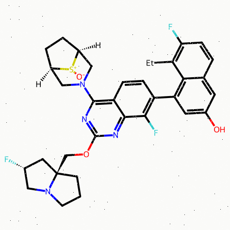 CCc1c(F)ccc2cc(O)cc(-c3ccc4c(N5C[C@H]6CC[C@@H](C5)[S+]6[O-])nc(OC[C@@]56CCCN5C[C@H](F)C6)nc4c3F)c12